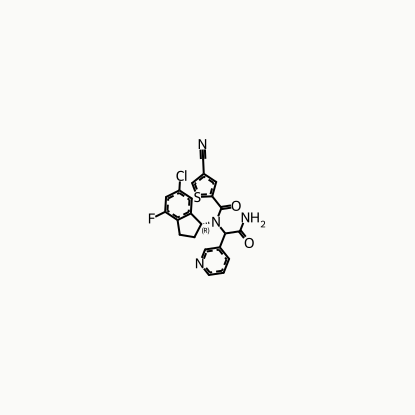 N#Cc1csc(C(=O)N(C(C(N)=O)c2cccnc2)[C@@H]2CCc3c(F)cc(Cl)cc32)c1